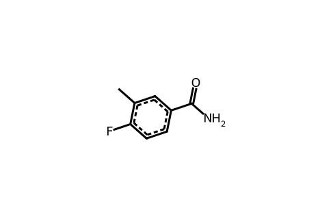 Cc1cc(C(N)=O)ccc1F